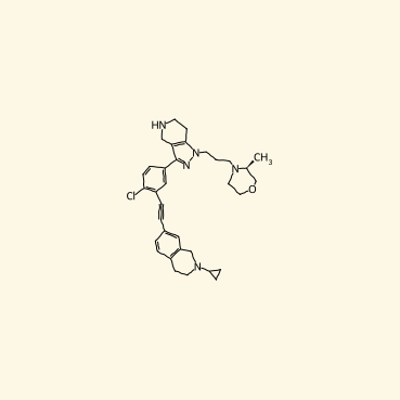 C[C@H]1COCCN1CCCn1nc(-c2ccc(Cl)c(C#Cc3ccc4c(c3)CN(C3CC3)CC4)c2)c2c1CCNC2